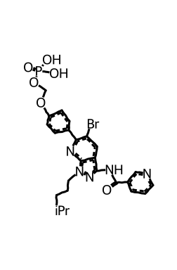 CC(C)CCCn1nc(NC(=O)c2cccnc2)c2cc(Br)c(-c3ccc(OCOP(=O)(O)O)cc3)nc21